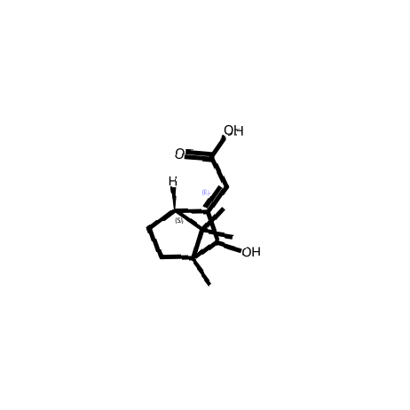 CC12CC[C@H](/C(=C\C(=O)O)C1O)C2(C)C